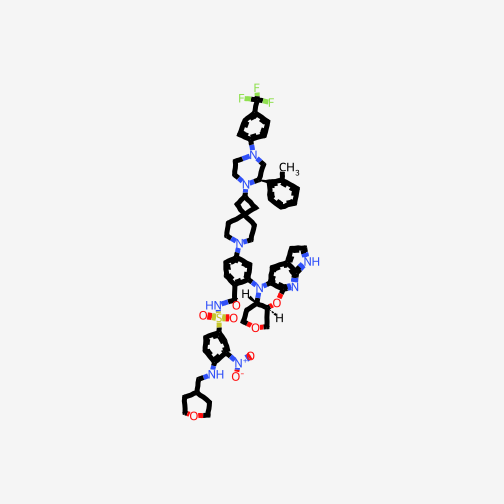 Cc1ccccc1[C@@H]1CN(c2ccc(C(F)(F)F)cc2)CCN1C1CC2(CCN(c3ccc(C(=O)NS(=O)(=O)c4ccc(NCC5CCOCC5)c([N+](=O)[O-])c4)c(N4c5cc6cc[nH]c6nc5O[C@H]5COCC[C@@H]54)c3)CC2)C1